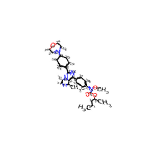 CCCC(C)OC(=O)N(OC)c1ccc(-c2nc(C3CCC(N4CCOCC4)CC3)n3ccnc(C)c23)cc1